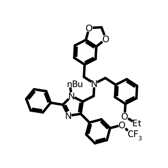 CCCCn1c(-c2ccccc2)nc(-c2cccc(OC(F)(F)F)c2)c1CN(Cc1cccc(OCC)c1)Cc1ccc2c(c1)OCO2